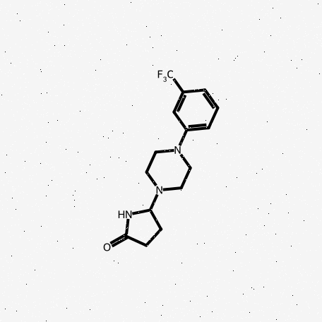 O=C1CCC(N2CCN(c3cccc(C(F)(F)F)c3)CC2)N1